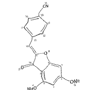 COc1cc(OC)c2c(c1)OC(=Cc1ccc(C#N)cc1)C2=O